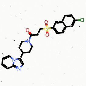 O=C(CCS(=O)(=O)c1ccc2cc(Cl)ccc2c1)N1CCC(c2cnc3ccccn23)CC1